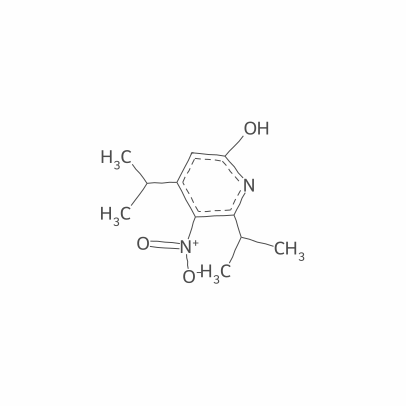 CC(C)c1cc(O)nc(C(C)C)c1[N+](=O)[O-]